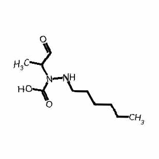 CCCCCCNN(C(=O)O)C(C)C=O